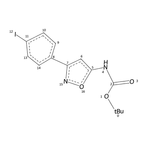 CC(C)(C)OC(=O)Nc1cc(-c2ccc(I)cc2)no1